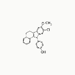 COc1cc2c(cc1Cl)C(c1ccc(O)cc1)C1=C2CCc2ccccc21